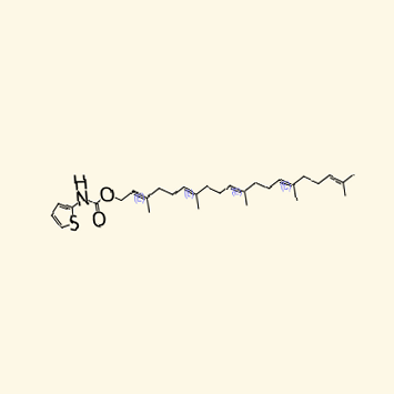 CC(C)=CCC/C(C)=C/CC/C(C)=C/CC/C(C)=C/CC/C(C)=C/COC(=O)Nc1cccs1